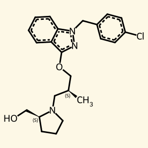 C[C@H](COc1nn(Cc2ccc(Cl)cc2)c2ccccc12)CN1CCC[C@H]1CO